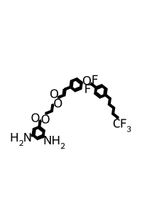 Nc1cc(N)cc(C(=O)OCCCOC(=O)/C=C/c2ccc(OC(F)(F)c3ccc(CCCCCC(F)(F)F)cc3)cc2)c1